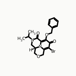 CC(C)N1C[C@H]2COCc3c(Br)c(=O)c(OCc4ccccc4)c(n32)C1=O